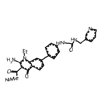 CCn1c(N)c(C(=O)NC)c(=O)c2ccc(-c3ccc(NC(=O)NCc4cccnc4)cc3)cc21